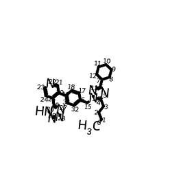 CCCCc1nc(C2CCCCC2)nn1Cc1ccc(-c2cnccc2-c2nnn[nH]2)cc1